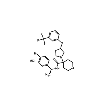 C[C@H](NC(=O)C1(N2CC[C@@H](Oc3cccc(C(F)(F)F)c3)C2)CCOCC1)c1ccc(Br)cc1.Cl